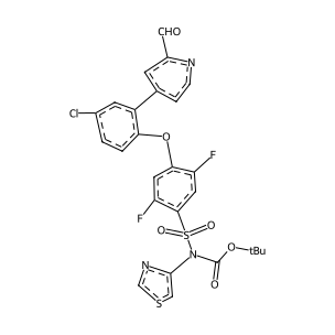 CC(C)(C)OC(=O)N(c1cscn1)S(=O)(=O)c1cc(F)c(Oc2ccc(Cl)cc2-c2ccnc(C=O)c2)cc1F